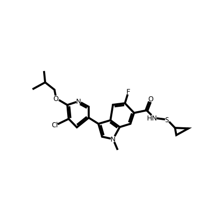 CC(C)COc1ncc(-c2cn(C)c3cc(C(=O)NSC4CC4)c(F)cc23)cc1Cl